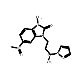 C[C@@H](CCn1c(=O)n(C)c2ccc([N+](=O)[O-])cc21)n1cccn1